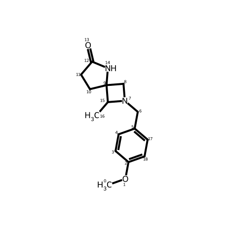 COc1ccc(CN2CC3(CCC(=O)N3)C2C)cc1